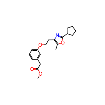 COC(=O)Cc1cccc(OCCc2nc(C3CCCC3)oc2C)c1